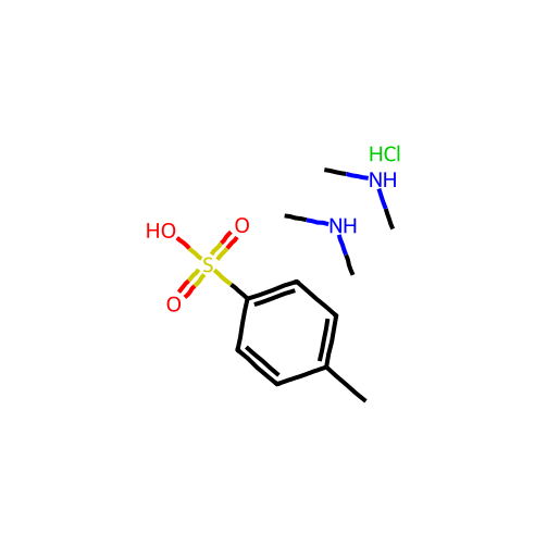 CNC.CNC.Cc1ccc(S(=O)(=O)O)cc1.Cl